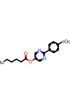 CCCCCCCCc1ccc(-c2ncc(OC(=O)CCCCC(C)CC)cn2)cc1